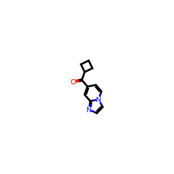 O=C(c1ccn2ccnc2c1)C1CCC1